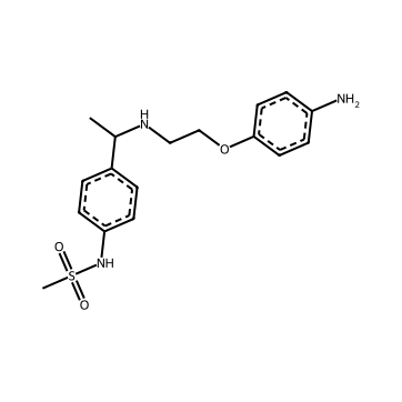 CC(NCCOc1ccc(N)cc1)c1ccc(NS(C)(=O)=O)cc1